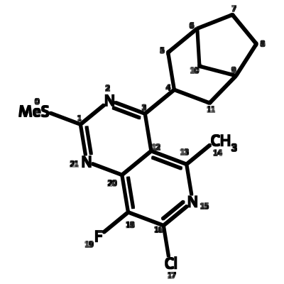 CSc1nc(C2CC3CCC(C3)C2)c2c(C)nc(Cl)c(F)c2n1